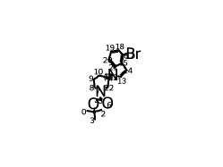 CC(C)(C)OC(=O)N1CCC[C@@H](n2ccc3c(Br)cccc32)C1